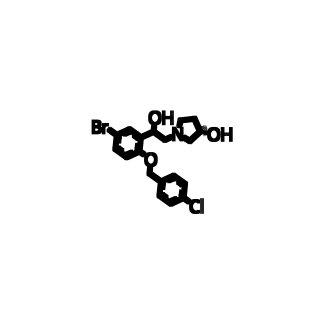 OC(CN1CC[C@@H](O)C1)c1cc(Br)ccc1OCc1ccc(Cl)cc1